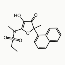 CCS(=O)(=O)N(C)C1=C(O)C(=O)C(C)(c2cccc3ccccc23)O1